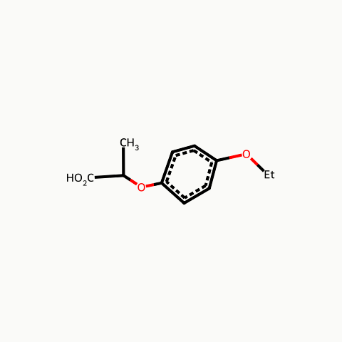 CCOc1ccc(OC(C)C(=O)O)cc1